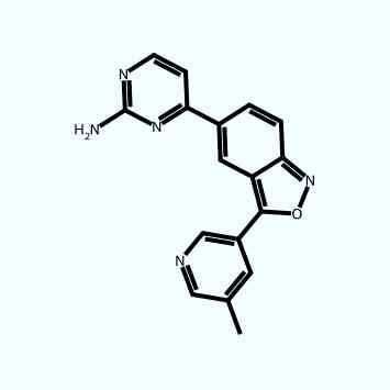 Cc1cncc(-c2onc3ccc(-c4ccnc(N)n4)cc23)c1